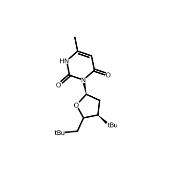 Cc1cc(=O)n([C@H]2C[C@@H](C(C)(C)C)C(CC(C)(C)C)O2)c(=O)[nH]1